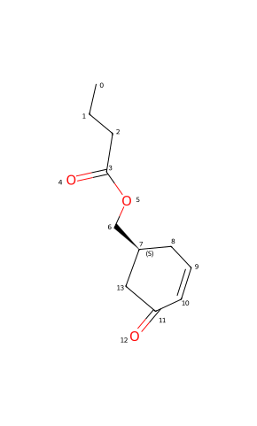 CCCC(=O)OC[C@H]1CC=CC(=O)C1